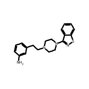 Nc1cccc(CCN2CCN(c3nsc4ccccc34)CC2)c1